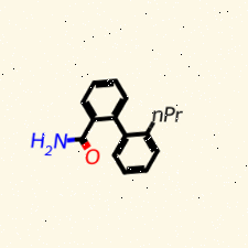 CCCc1ccccc1-c1ccccc1C(N)=O